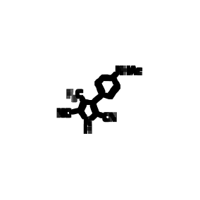 CC(=O)Nc1ccc(-c2c(C#N)[nH]c(C#N)c2C(F)(F)F)cc1